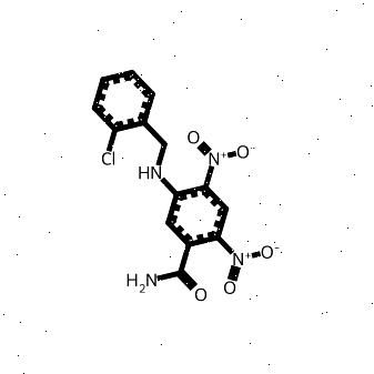 NC(=O)c1cc(NCc2ccccc2Cl)c([N+](=O)[O-])cc1[N+](=O)[O-]